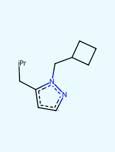 CC(C)Cc1c[c]nn1CC1CCC1